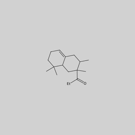 CCC(=O)C1(C)CC2C(=CCCC2(C)C)CC1C